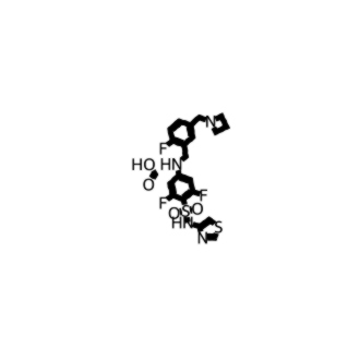 O=CO.O=S(=O)(Nc1cscn1)c1c(F)cc(NCc2cc(CN3CCC3)ccc2F)cc1F